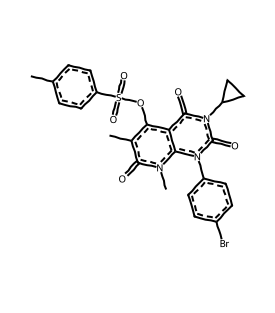 Cc1ccc(S(=O)(=O)Oc2c(C)c(=O)n(C)c3c2c(=O)n(C2CC2)c(=O)n3-c2ccc(Br)cc2)cc1